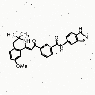 COc1ccc2c(c1)C(=CC(=O)c1cccc(C(=O)Nc3ccc4[nH]ncc4c3)c1)NC(C)(C)C2